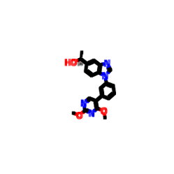 COc1ncc(-c2cccc(-n3cnc4cc([C@H](C)O)ccc43)c2)c(OC)n1